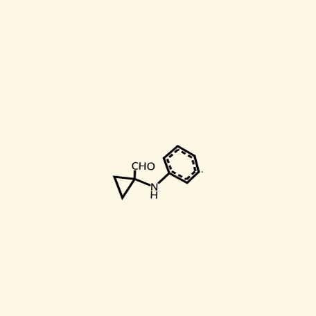 O=CC1(Nc2c[c]ccc2)CC1